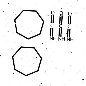 C1CCCCCC1.C1CCCCCC1.N=C=O.N=C=O.N=C=O